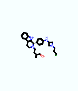 C=C(CO)CCN1CCc2c([nH]c3ccccc23)[C@H]1c1ccc(NC2CN(CCCF)C2)cc1